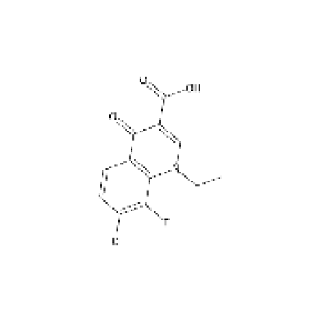 CCn1cc(C(=O)O)c(=O)c2ccc(Cl)c(F)c21